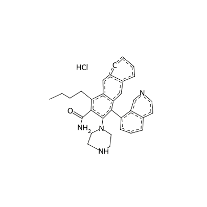 CCCCc1c(C(N)=O)c(N2CCNCC2)c(-c2cccc3ccncc23)c2cc3ccccc3cc12.Cl